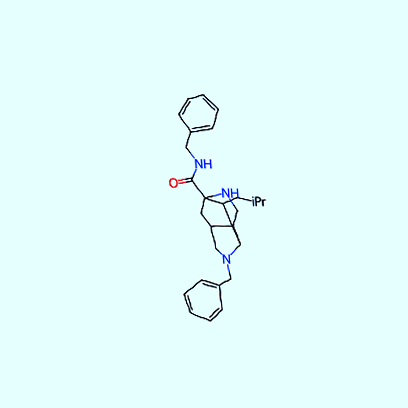 CC(C)CC1C2C3CNC1(C(=O)NCc1ccccc1)CC3CN2Cc1ccccc1